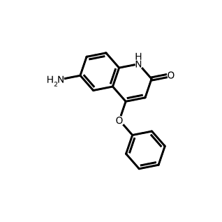 Nc1ccc2[nH]c(=O)cc(Oc3ccccc3)c2c1